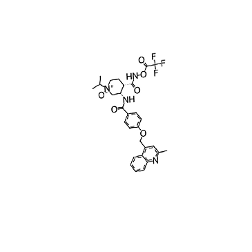 Cc1cc(COc2ccc(C(=O)N[C@@H]3C[N+]([O-])(C(C)C)CC[C@@H]3C(=O)NOC(=O)C(F)(F)F)cc2)c2ccccc2n1